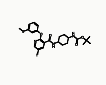 CSc1cccc(Oc2ncc(F)cc2C(=O)NC2CCC(NC(=O)OC(C)(C)C)CC2)c1